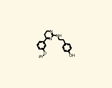 CC(C)Oc1cccc(C2=NC(NCCc3ccc(O)cc3)=NCC2)c1